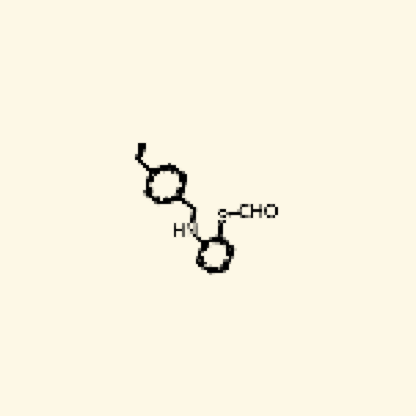 C=Cc1ccc(CNc2ccccc2SC=O)cc1